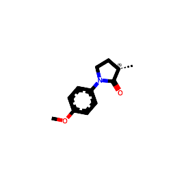 COc1ccc(N2CC[C@H](C)C2=O)cc1